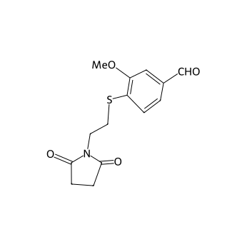 COc1cc(C=O)ccc1SCCN1C(=O)CCC1=O